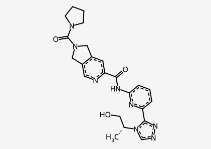 C[C@H](CO)n1cnnc1-c1cccc(NC(=O)c2cc3c(cn2)CN(C(=O)N2CCCC2)C3)n1